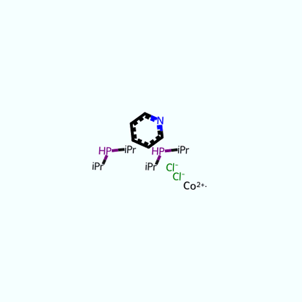 CC(C)PC(C)C.CC(C)PC(C)C.[Cl-].[Cl-].[Co+2].c1ccncc1